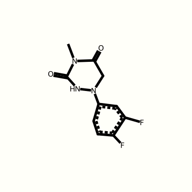 CN1C(=O)CN(c2ccc(F)c(F)c2)NC1=O